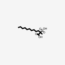 CCCCCCCCCCC(C)(C(=O)O)S(=O)(=O)O